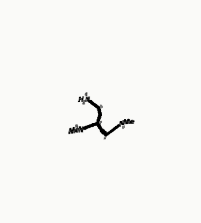 CNCC(CN)NC